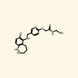 CC(C)(C)CNC(=O)COc1ccc(CNc2c(Cl)ccc3c2CCCNN3)cn1